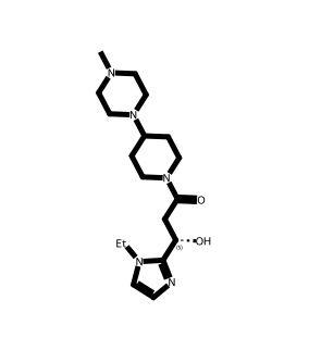 CCn1ccnc1[C@@H](O)CC(=O)N1CCC(N2CCN(C)CC2)CC1